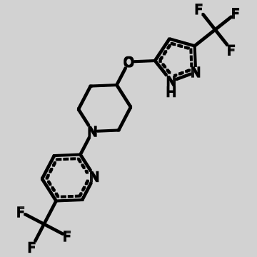 FC(F)(F)c1ccc(N2CCC(Oc3cc(C(F)(F)F)n[nH]3)CC2)nc1